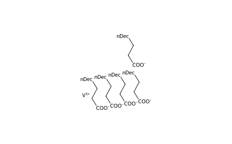 CCCCCCCCCCCCC(=O)[O-].CCCCCCCCCCCCC(=O)[O-].CCCCCCCCCCCCC(=O)[O-].CCCCCCCCCCCCC(=O)[O-].CCCCCCCCCCCCC(=O)[O-].[V+5]